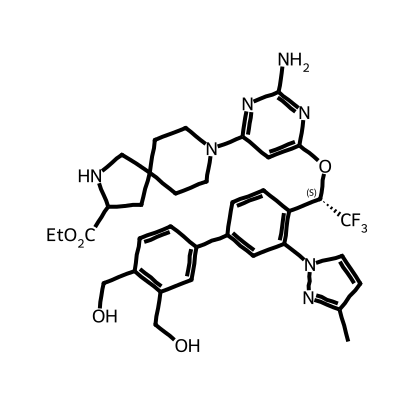 CCOC(=O)C1CC2(CCN(c3cc(O[C@@H](c4ccc(-c5ccc(CO)c(CO)c5)cc4-n4ccc(C)n4)C(F)(F)F)nc(N)n3)CC2)CN1